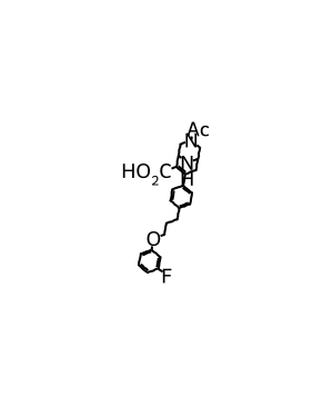 CC(=O)N1CC2CC(c3ccc(CCCOc4cccc(F)c4)cc3)=C(C(=O)O)C(C1)N2